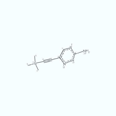 C[Si](C)(C)C#Cc1cnc(N)nn1